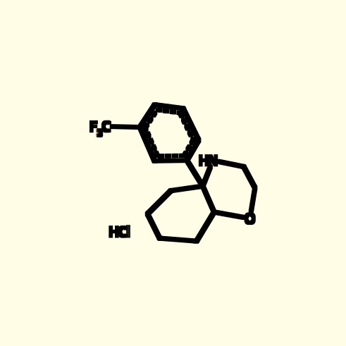 Cl.FC(F)(F)c1cccc(C23CCCCC2OCCN3)c1